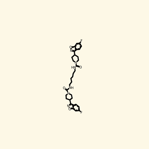 O=C(NCCCCCCNC(=O)N1CCC(c2noc3cc(F)ccc23)CC1)N1CCC(c2noc3cc(F)ccc23)CC1